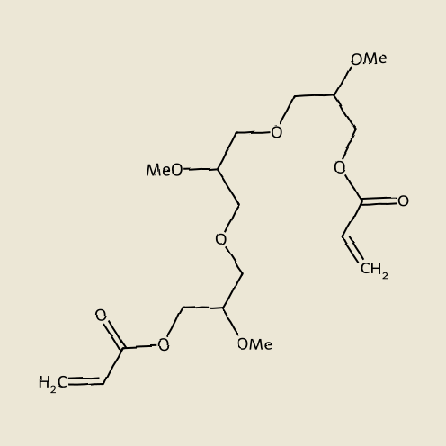 C=CC(=O)OCC(COCC(COCC(COC(=O)C=C)OC)OC)OC